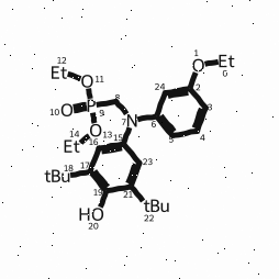 CCOc1cccc(N(CP(=O)(OCC)OCC)c2cc(C(C)(C)C)c(O)c(C(C)(C)C)c2)c1